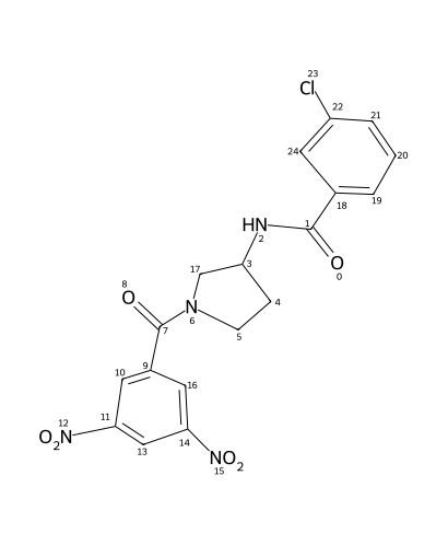 O=C(NC1CCN(C(=O)c2cc([N+](=O)[O-])cc([N+](=O)[O-])c2)C1)c1cccc(Cl)c1